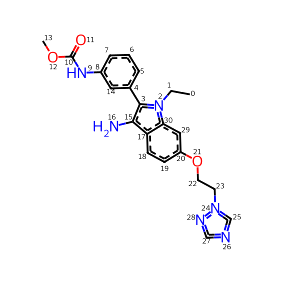 CCn1c(-c2cccc(NC(=O)OC)c2)c(N)c2ccc(OCCn3cncn3)cc21